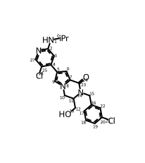 CC(C)Nc1cc(-c2cc3n(c2)CC(CO)N(Cc2cccc(Cl)c2)C3=O)c(Cl)cn1